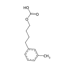 Cc1cccc(CCCCOC(=O)O)c1